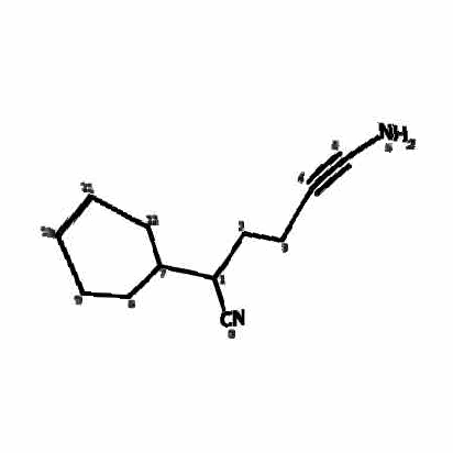 N#CC(CCC#CN)C1CCCCC1